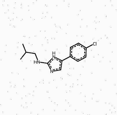 CC(C)CNc1ncc(-c2ccc(Cl)cc2)[nH]1